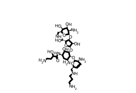 NCCCNC[C@@H]1C=C[C@@H](N)[C@@H](O[C@H]2[C@H](O[C@@H]3O[C@H](CO)[C@@H](O[C@H]4O[C@@H](CN)[C@@H](O)[C@H](O)[C@H]4N)[C@H]3O)[C@@H](O)[C@H](NC(=O)C(O)CCN)C[C@@H]2N)O1